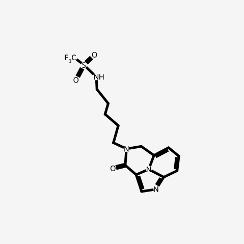 O=C1c2cnc3cccc(n23)CN1CCCCCNS(=O)(=O)C(F)(F)F